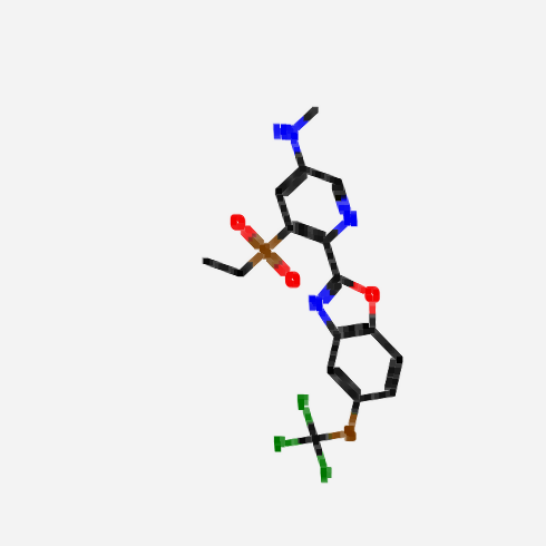 CCS(=O)(=O)c1cc(NC)cnc1-c1nc2cc(SC(F)(F)F)ccc2o1